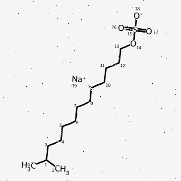 CC(C)CCCCCCCCCCCOS(=O)(=O)[O-].[Na+]